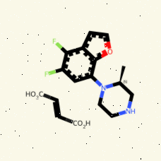 C[C@H]1CNCCN1c1cc(F)c(F)c2ccoc12.O=C(O)C=CC(=O)O